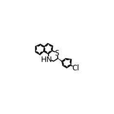 Clc1ccc([C@H]2CNc3c(ccc4ccccc34)S2)cc1